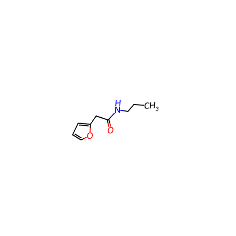 CCCNC(=O)Cc1ccco1